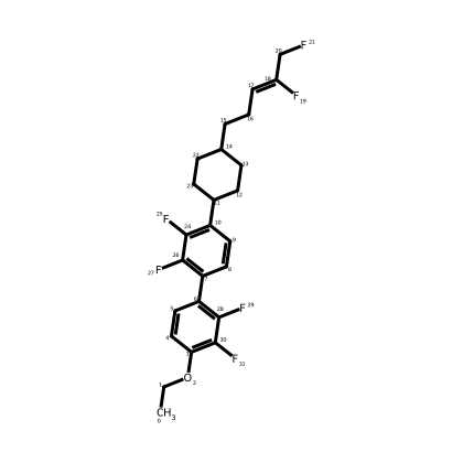 CCOc1ccc(-c2ccc(C3CCC(CCC=C(F)CF)CC3)c(F)c2F)c(F)c1F